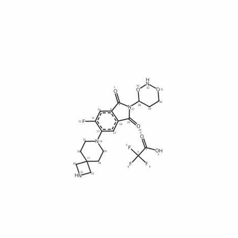 O=C(O)C(F)(F)F.O=C1c2cc(F)c(N3CCC4(CC3)CNC4)cc2C(=O)N1C1CCONO1